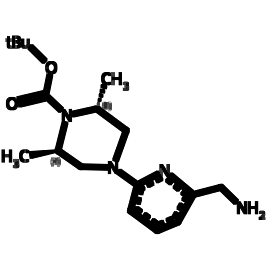 C[C@@H]1CN(c2cccc(CN)n2)C[C@@H](C)N1C(=O)OC(C)(C)C